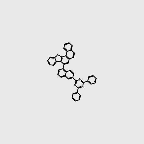 c1ccc(-c2nc(-c3ccccc3)nc(-c3ccc4c(-c5cc6ccc7ccccc7c6c6sc7ccccc7c56)cccc4c3)n2)cc1